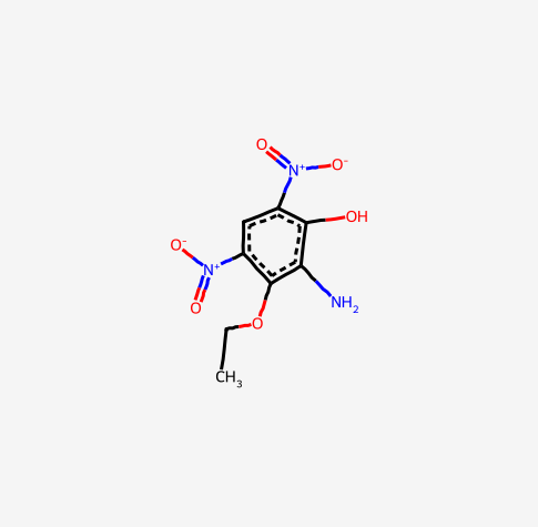 CCOc1c([N+](=O)[O-])cc([N+](=O)[O-])c(O)c1N